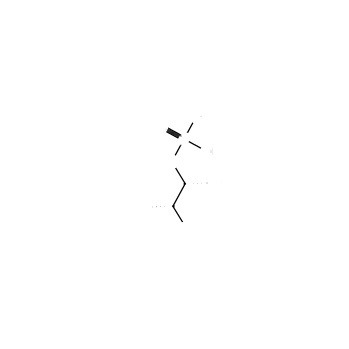 C[C@H](C(=O)O)[C@@H](C)OP(=O)(O)O